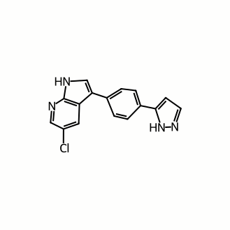 Clc1cnc2[nH]cc(-c3ccc(-c4ccn[nH]4)cc3)c2c1